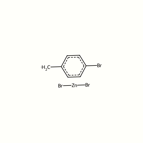 [Br][Zn][Br].[CH2]c1ccc(Br)cc1